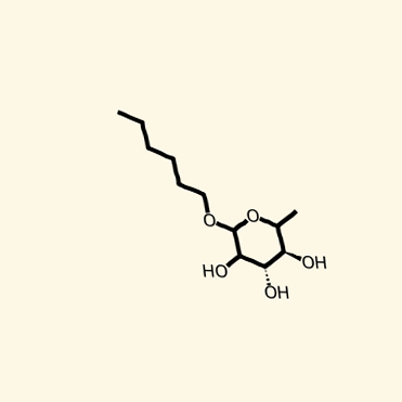 CCCCCCOC1OC(C)[C@@H](O)[C@H](O)C1O